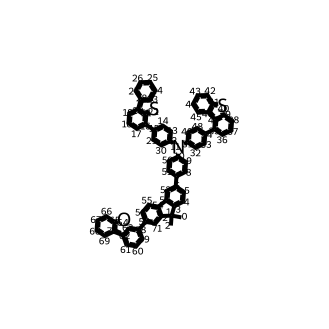 CC1(C)c2ccc(-c3ccc(N(c4ccc(-c5cccc6c5sc5ccccc56)cc4)c4ccc(-c5cccc6sc7ccccc7c56)cc4)cc3)cc2-c2ccc(-c3cccc4c3oc3ccccc34)cc21